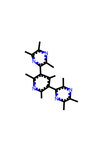 Cc1nc(C)c(-c2c(C)nc(C)c(-c3nc(C)c(C)nc3C)c2C)nc1C